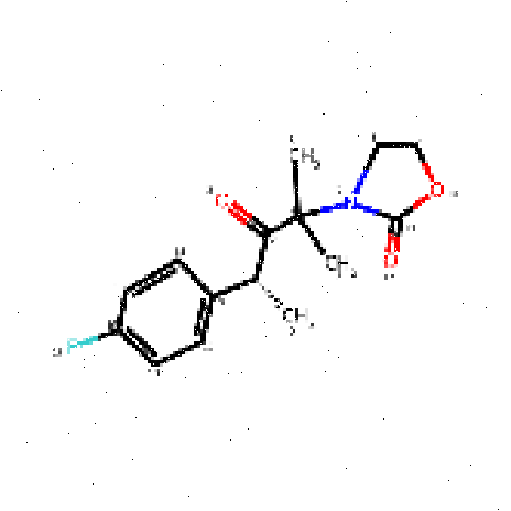 C[C@@H](C(=O)C(C)(C)N1CCOC1=O)c1ccc(F)cc1